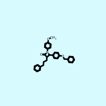 COc1ccc(N2C(=O)C(CCCc3ccccc3)C2c2ccc(OCc3ccccc3)cc2)cc1